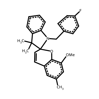 COc1cc(C)cc2c1OC1(C=C2)N(Cc2ccc(F)cc2)c2ccccc2C1(C)C